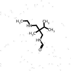 CCNCC(C)(CNC=O)C(C)C